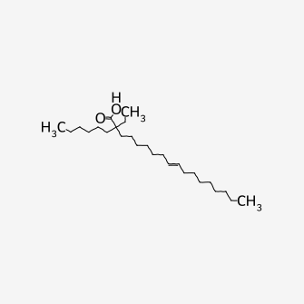 CCCCCCCCC=CCCCCCCC(CC)(CCCCCC)C(=O)O